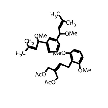 COC(C=C(C)C)c1cccc(C(C=C(C)C)OC)c1.COc1cccc(OC)c1CC=C(COC(C)=O)COC(C)=O